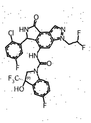 O=C1NC(c2cc(F)ccc2Cl)c2c(NC(=O)N3C[C@@](O)(C(F)(F)F)c4cc(F)ccc43)cc3c(cnn3CC(F)F)c21